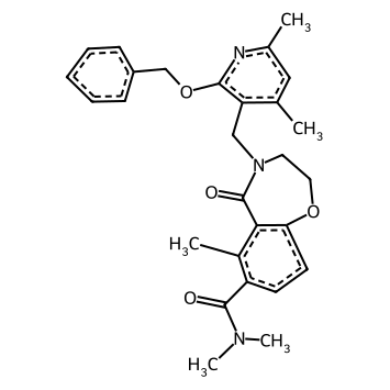 Cc1cc(C)c(CN2CCOc3ccc(C(=O)N(C)C)c(C)c3C2=O)c(OCc2ccccc2)n1